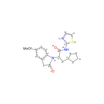 COc1ccc2c(c1)CC(=O)N2C(CC1CCCC1)C(=O)Nc1nccs1